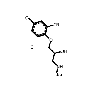 CC(C)(C)NCC(O)COc1ccc(Cl)cc1C#N.Cl